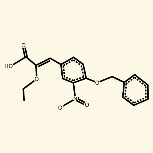 CCO/C(=C\c1ccc(OCc2ccccc2)c([N+](=O)[O-])c1)C(=O)O